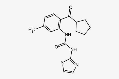 Cc1ccc(C(=O)C2CCCC2)c(NC(=O)Nc2n[c]cs2)c1